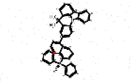 CC1(C)c2cc(-c3cccc4c(P(=O)(c5ccccc5)c5ccccc5)cccc34)ccc2-n2c3ccccc3c3cccc1c32